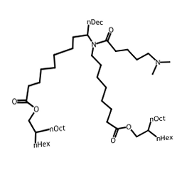 CCCCCCCCCCC(CCCCCCCC(=O)OCC(CCCCCC)CCCCCCCC)N(CCCCCCCC(=O)OCC(CCCCCC)CCCCCCCC)C(=O)CCCCN(C)C